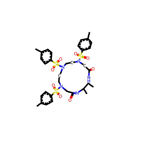 Cc1ccc(S(=O)(=O)N2CCN(S(=O)(=O)c3ccc(C)cc3)CC(=O)NC(C)C(C)NC(=O)CN(S(=O)(=O)c3ccc(C)cc3)CC2)cc1